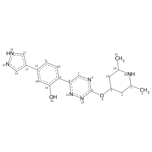 CC1CC(Oc2ncc(-c3ccc(-c4cn[nH]c4)cc3O)nn2)CC(C)N1